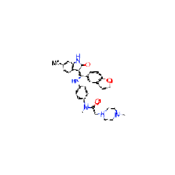 CN1CCN(CC(=O)N(C)c2ccc(NC(=C3C(=O)Nc4cc(C#N)ccc43)c3ccc4c(c3)CCO4)cc2)CC1